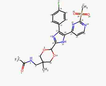 CC1(CNC(=O)C(F)(F)F)COC(c2nc(-c3ccc(F)cc3)c(-c3ccnc(S(C)(=O)=O)n3)[nH]2)OC1